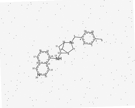 Cc1ccc(CN2CC3CC2CC3Nc2cccc3cnccc23)cc1